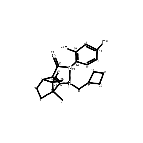 CC12CCC(c3c1n(CC1CCC1)n(-c1ccc(F)cc1F)c3=O)C2(C)C